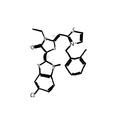 CCn1c(=O)/c(=C2\Sc3cc(Cl)ccc3N2C)s/c1=C\c1scc[n+]1Cc1ccccc1C